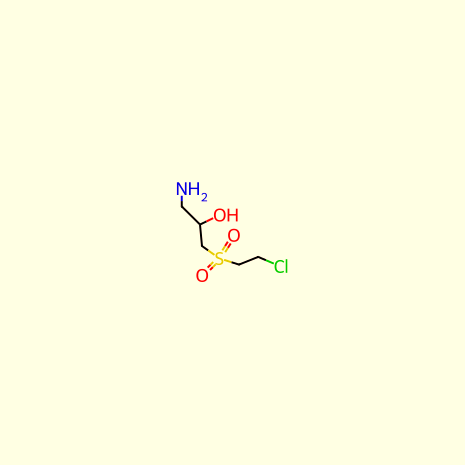 NCC(O)CS(=O)(=O)CCCl